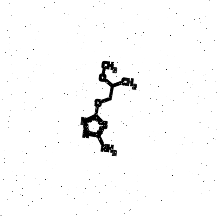 COC(C)COc1nnc(N)s1